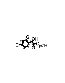 CCOC(=O)C(O)c1ccc(Cl)cc1O